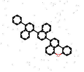 c1ccc(-c2ccc(-c3ccc(-c4ccc5c6c(cccc46)Oc4ccccc4-5)c4ccccc34)c3ccccc23)cc1